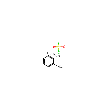 CC#N.O=S(=O)(Cl)Cl.O=[N+]([O-])c1ccccc1